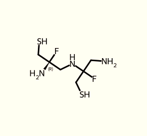 NCC(F)(CS)NC[C@@](N)(F)CS